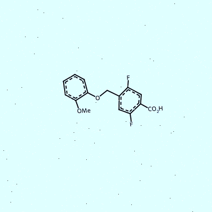 COc1ccccc1OCc1cc(F)c(C(=O)O)cc1F